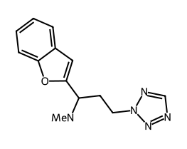 CNC(CCn1ncnn1)c1cc2ccccc2o1